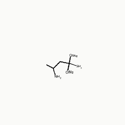 COC([SiH3])(CC(C)N)OC